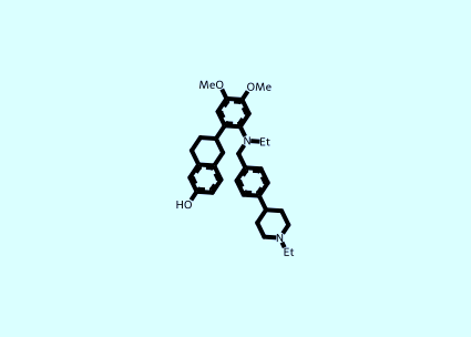 CCN1CCC(c2ccc(CN(CC)c3cc(OC)c(OC)cc3C3CCc4cc(O)ccc4C3)cc2)CC1